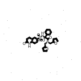 CO[C@@](NS(=O)(=O)c1ccc2[nH]c(=O)ccc2c1)(C(=O)N(Cc1ccco1)Cc1cccs1)c1ccccc1